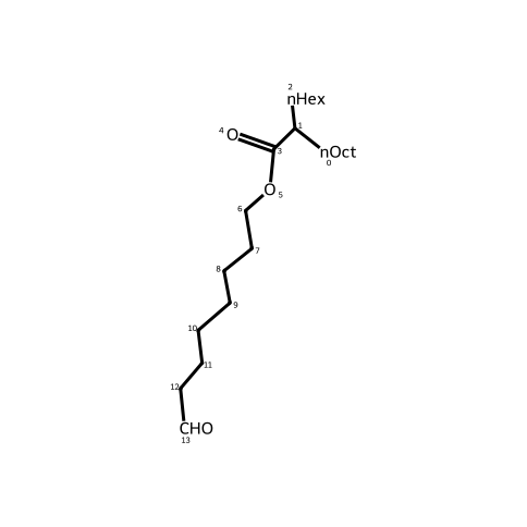 CCCCCCCCC(CCCCCC)C(=O)OCCCCCCCC=O